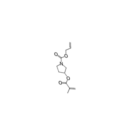 C=CCOC(=O)N1CCC(OC(=O)C(=C)C)C1